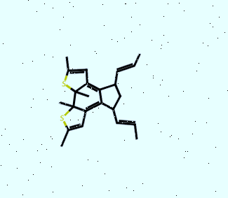 C/C=C/C1CC(/C=C/C)C2=C3C=C(C)SC3(C)C3(C)SC(C)=CC3=C21